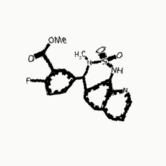 COC(=O)c1cc(C2c3ccc4cccnc4c3NS(=O)(=O)N2C)ccc1F